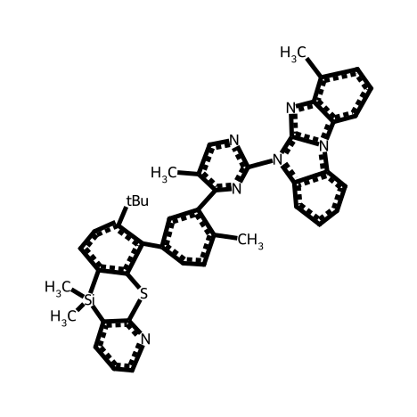 Cc1ccc(-c2c(C(C)(C)C)ccc3c2Sc2ncccc2[Si]3(C)C)cc1-c1nc(-n2c3ccccc3n3c4cccc(C)c4nc23)ncc1C